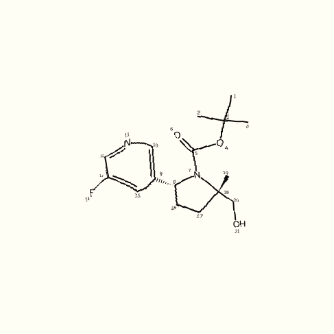 CC(C)(C)OC(=O)N1[C@@H](c2cncc(F)c2)CC[C@@]1(C)CO